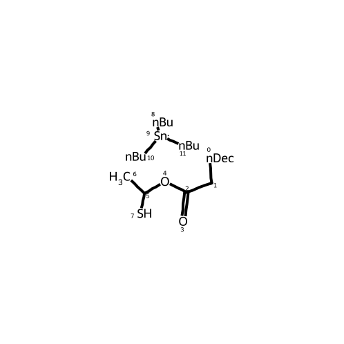 CCCCCCCCCCCC(=O)OC(C)S.CCC[CH2][Sn]([CH2]CCC)[CH2]CCC